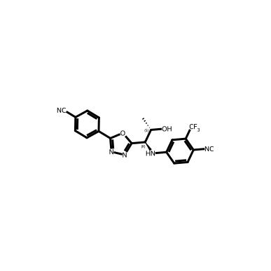 [C-]#[N+]c1ccc(N[C@@H](c2nnc(-c3ccc(C#N)cc3)o2)[C@H](C)O)cc1C(F)(F)F